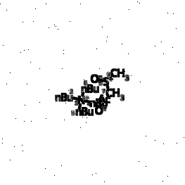 CC(=O)[O-].CCCC[N+](CCCC)(CCCC)CCCC.C[S+](C)[O-]